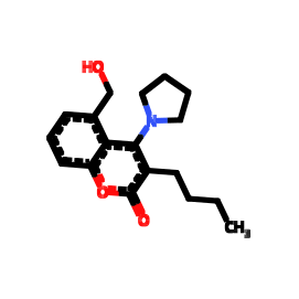 CCCCc1c(N2CCCC2)c2c(CO)cccc2oc1=O